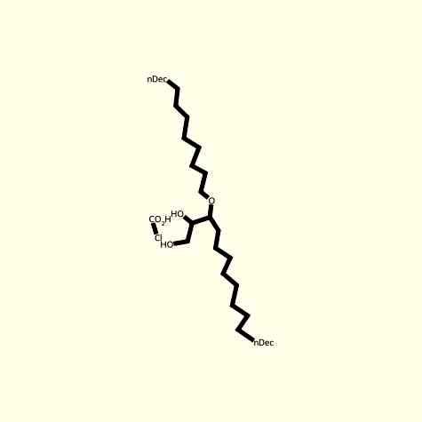 CCCCCCCCCCCCCCCCCCOC(CCCCCCCCCCCCCCCCCC)C(O)CO.O=C(O)Cl